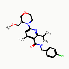 COC[C@H]1COCCN1c1cc(C)c(C(=O)NCc2ccc(Cl)cc2)c(C(C)C)n1